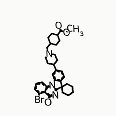 COC(=O)C1CCC(CN2CCC(c3ccc4c(c3)-n3c(nc(=O)c5c(Br)cccc53)C43CCCCC3)CC2)CC1